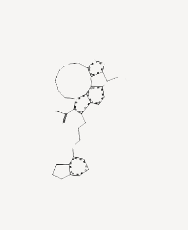 CCc1n[nH]c2c1-c1c(F)ccc3c(CCCOc4cccc5c4CCC5)c(C(=O)O)n(c13)CCCCOC2